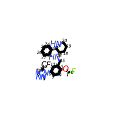 FCOc1ccc(-n2nnnc2C(F)(F)F)cc1CN[C@H]1CCCN[C@H]1c1ccccc1